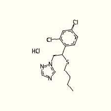 CCCCSC(Cn1cncn1)c1ccc(Cl)cc1Cl.Cl